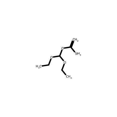 C=C([SiH3])OC(OCC)OCC